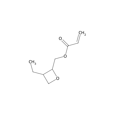 C=CC(=O)OCC1OCC1CC